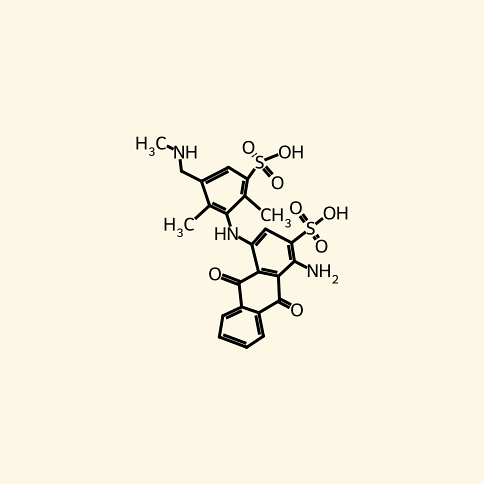 CNCc1cc(S(=O)(=O)O)c(C)c(Nc2cc(S(=O)(=O)O)c(N)c3c2C(=O)c2ccccc2C3=O)c1C